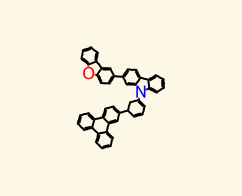 C1=CC(c2ccc3c4ccccc4c4ccccc4c3c2)CC(n2c3ccccc3c3ccc(-c4ccc5oc6ccccc6c5c4)cc32)=C1